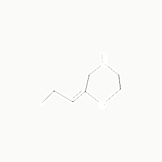 CCC=C1CNCCO1